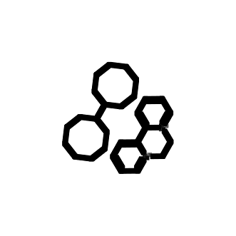 C1CCCC(C2CCCCCCC2)CCC1.c1cc[n+]2c(c1)-c1cccc[n+]1CC2